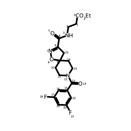 CCOC(=O)CCNC(=O)C1=NOC2(CCN(C(=O)c3cc(F)cc(F)c3)CC2)C1